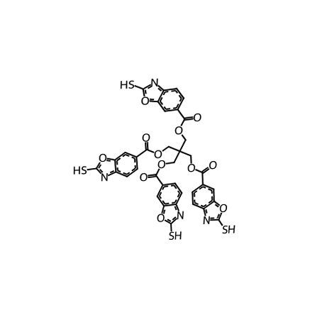 O=C(OCC(COC(=O)c1ccc2nc(S)oc2c1)(COC(=O)c1ccc2nc(S)oc2c1)COC(=O)c1ccc2nc(S)oc2c1)c1ccc2nc(S)oc2c1